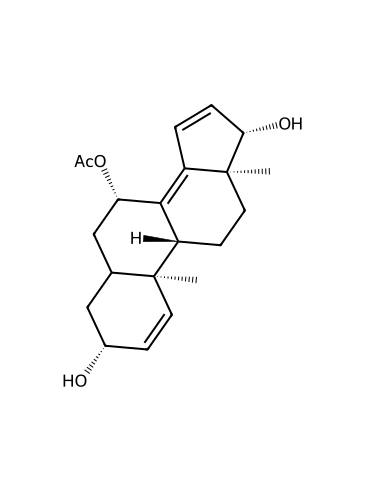 CC(=O)O[C@H]1CC2C[C@@H](O)C=C[C@]2(C)[C@H]2CC[C@@]3(C)C(=C12)C=C[C@@H]3O